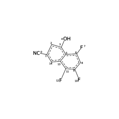 N#Cc1cc(O)c2c(F)cc(F)c(F)c2c1